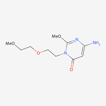 COCCOCCn1c(OC)nc(N)cc1=O